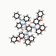 c1ccc(-c2c3c(cc4c2oc2ccccc24)B2c4cccc5c4N4c6c(cccc6N5c5ccccc5)B5c6cc7c(oc8ccccc87)c(-c7ccccc7)c6N(c6ccccc6)c6cc(c2c4c65)N3c2ccccc2)cc1